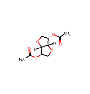 CC(=O)O[C@H]1CO[C@@H]2[C@H]1OC[C@H]2OC(C)=O